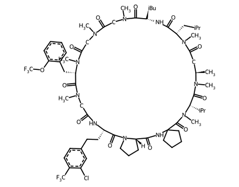 CC[C@H](C)[C@@H]1NC(=O)[C@H](CC(C)C)N(C)C(=O)C[C@@H](C)N(C)C(=O)[C@H](C(C)C)N(C)C(=O)C2(CCCC2)NC(=O)[C@@H]2CCCN2C(=O)[C@H](CCc2ccc(C(F)(F)F)c(Cl)c2)NC(=O)CN(C)C(=O)[C@H](Cc2ccccc2OC(F)(F)F)N(C)C(=O)CN(C)C(=O)CN(C)C1=O